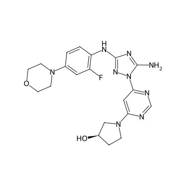 Nc1nc(Nc2ccc(N3CCOCC3)cc2F)nn1-c1cc(N2CC[C@@H](O)C2)ncn1